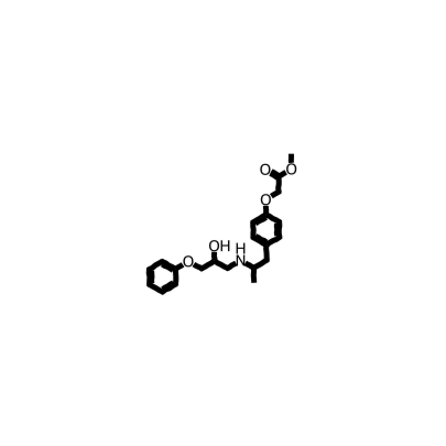 COC(=O)COc1ccc(CC(C)NCC(O)COc2ccccc2)cc1